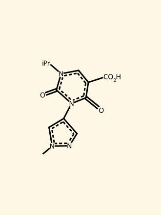 CC(C)n1cc(C(=O)O)c(=O)n(-c2cnn(C)c2)c1=O